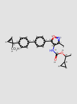 Cc1noc(-c2ccc(-c3ccc(C4(C(=O)O)C=C4)cc3)cc2)c1NC(=O)OC(C)C1CC1